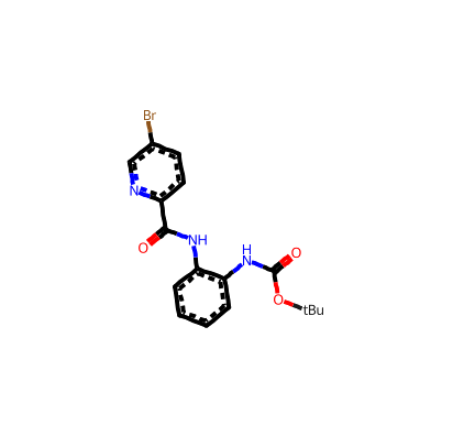 CC(C)(C)OC(=O)Nc1ccccc1NC(=O)c1ccc(Br)cn1